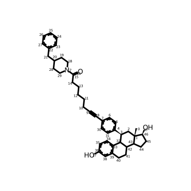 C[C@]12C[C@H](c3ccc(C#CCCCCCC(=O)N4CCC(Cc5ccccc5)CC4)cc3)C3c4ccc(O)cc4CCC3C1CC[C@@H]2O